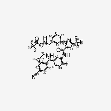 CC(C)(C)C(=O)ONCc1cccc(-n2nc(C(F)(F)F)cc2C(=O)Nc2cc(C(NCC3CC3)c3ccc(C#N)cc3)ccc2F)c1